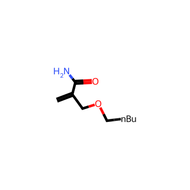 C=C(COCCCCC)C(N)=O